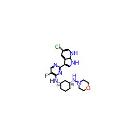 Fc1cnc(C2=CNC3NC=C(Cl)C=C23)nc1N[C@H]1CCC[C@@H](NN2CCOCC2)C1